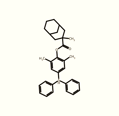 Cc1cc([SH](c2ccccc2)c2ccccc2)cc(C)c1OC(=O)C1(C)CC2CCCC(C2)C1